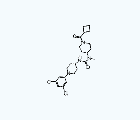 CN(C(=O)NC1CCN(c2cc(Cl)cc(Cl)c2)CC1)C1CCN(C(=O)C2CCC2)CC1